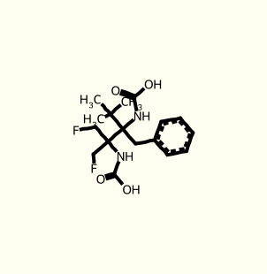 CC(C)(C)C(Cc1ccccc1)(NC(=O)O)C(CF)(CF)NC(=O)O